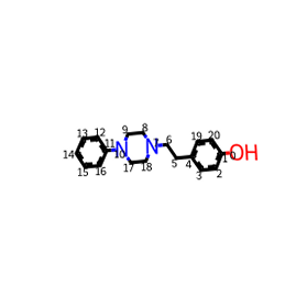 Oc1ccc(CCN2CCN(c3ccccc3)CC2)cc1